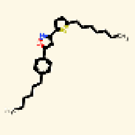 CCCCCCCc1ccc(-c2cc(-c3ccc(CCCCCC)cc3)on2)s1